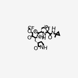 CC(C)C[C@H](NC(=O)C(=O)NC1(C)CC1)C(=O)N[C@@H](C[C@@H]1CCNC1=O)C(=O)COC(F)(F)F